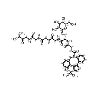 CC(C)C(=O)CNC(=O)CNC(=O)CNC(=O)CNC(=O)[C@H](CO[C@@H]1OC(CO)[C@@H](O)C(O)C1O)NC(=O)CCC(=O)N1Cc2ccccc2-c2c(nnn2C(C)(C)C)-c2ccccc21